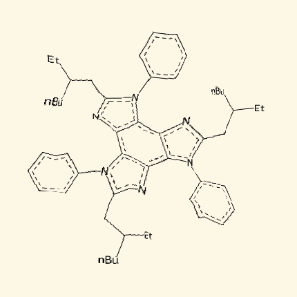 CCCCC(CC)Cc1nc2c(c3nc(CC(CC)CCCC)n(-c4ccccc4)c3c3nc(CC(CC)CCCC)n(-c4ccccc4)c23)n1-c1ccccc1